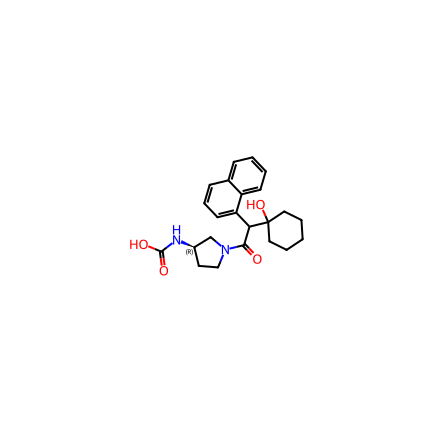 O=C(O)N[C@@H]1CCN(C(=O)C(c2cccc3ccccc23)C2(O)CCCCC2)C1